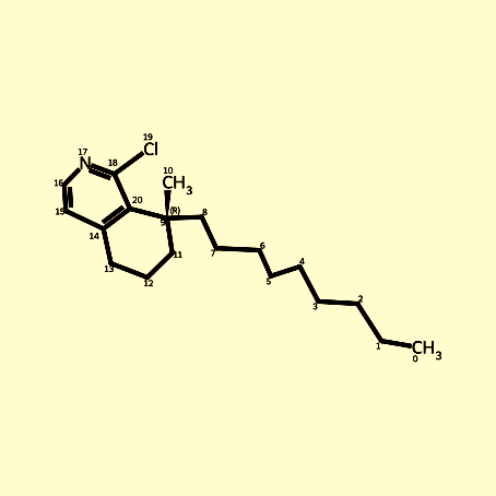 CCCCCCCCC[C@]1(C)CCCc2ccnc(Cl)c21